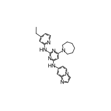 CCc1ccnc(Nc2nc(Nc3ccn4ccnc4c3)cc(N3CCCCCC3)n2)c1